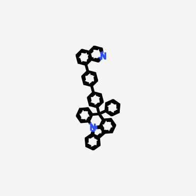 c1ccc(C2(c3ccc(-c4ccc(-c5cccc6ccncc56)cc4)cc3)c3ccccc3-n3c4ccccc4c4cccc2c43)cc1